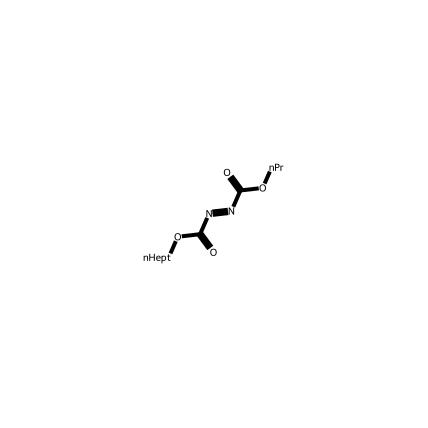 CCCCCCCOC(=O)/N=N/C(=O)OCCC